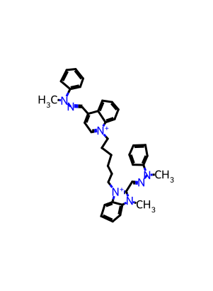 CN(/N=C/c1cc[n+](CCCCCC[n+]2c(/C=N/N(C)c3ccccc3)n(C)c3ccccc32)c2ccccc12)c1ccccc1